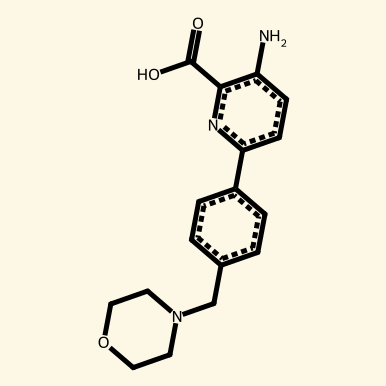 Nc1ccc(-c2ccc(CN3CCOCC3)cc2)nc1C(=O)O